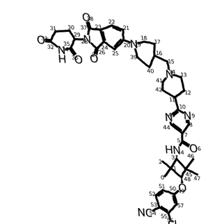 CC1(C)[C@H](NC(=O)c2cnc(C3CCN(CC4CCN(c5ccc6c(c5)C(=O)N(C5CCC(=O)NC5=O)C6=O)CC4)CC3)nc2)C(C)(C)[C@H]1Oc1ccc(C#N)c(Cl)c1